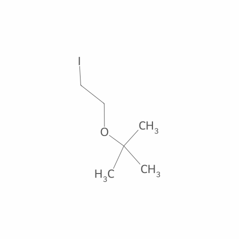 CC(C)(C)OCCI